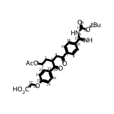 CC(=O)OCCC(CC(=O)c1ccc(C(=N)NC(=O)OC(C)(C)C)cc1)C(=O)c1ccc(OCC(=O)O)cc1